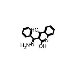 NN=C(c1ccccc1)c1c(O)nc2ccccc2c1O